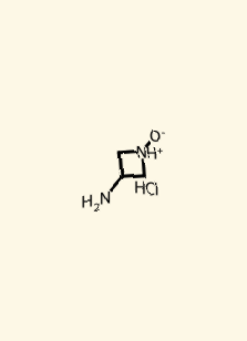 Cl.NC1C[NH+]([O-])C1